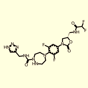 O=C(NC[C@H]1CN(c2cc(F)c(N3CCNN(C(=O)NCc4c[nH]nn4)CC3)c(F)c2)C(=O)O1)C(F)F